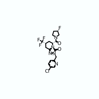 O=C([C@H]1C[C@@H](C(F)(F)F)Cc2nn(Cc3ccc(Cl)cn3)c(=O)n21)N1CC[C@H](F)C1